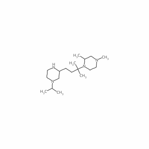 CC(C)N1CCNC(CCC(C)(C)N2CCN(C)CC2C)C1